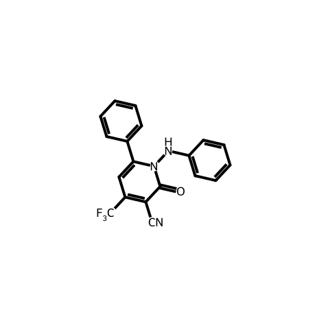 N#Cc1c(C(F)(F)F)cc(-c2ccccc2)n(Nc2ccccc2)c1=O